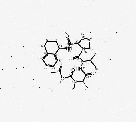 C=C(C)OC(=O)N(C)[C@@H](C)C(=O)N[C@H](C(=O)N1CCSC1C(=O)N[C@@H]1CCCc2ccccc21)C(C)C